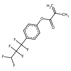 C=C(C)C(=O)Oc1ccc(C(F)(F)C(F)(F)C(F)F)cc1